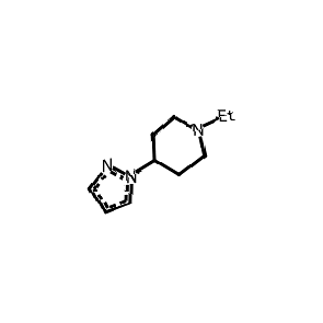 CCN1CCC(n2cccn2)CC1